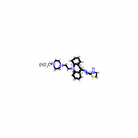 CCOC(=O)N1CCN(CCn2c3ccccc3c(=NN=C3NCCS3)c3ccccc32)CC1